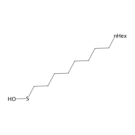 CCCCCCCCCCCCCCSO